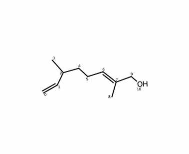 C=CC(C)CC/C=C(\C)CO